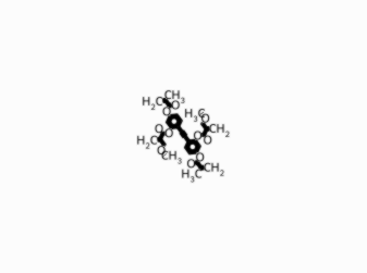 C=C(C)C(=O)Oc1ccc(C#Cc2ccc(OC(=O)C(=C)C)cc2OC(=O)C(=C)COC)c(OC(=O)C(=C)COC)c1